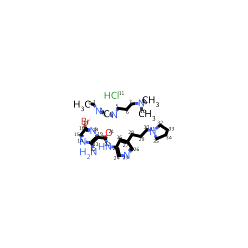 CCN=C=NCCCN(C)C.Cl.Nc1ncc(Br)nc1C(=O)Nc1cncc(CCCN2CCCC2)c1